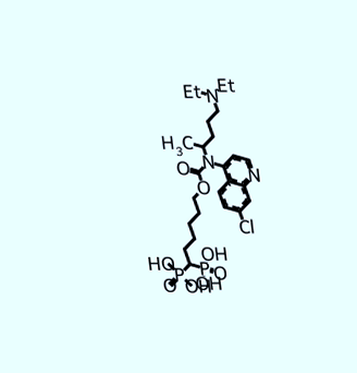 CCN(CC)CCCC(C)N(C(=O)OCCCCCC(P(=O)(O)O)P(=O)(O)O)c1ccnc2cc(Cl)ccc12